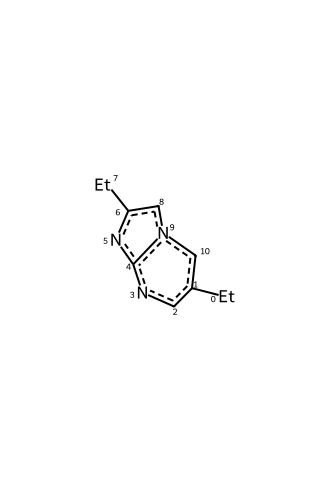 CCc1cnc2nc(CC)cn2c1